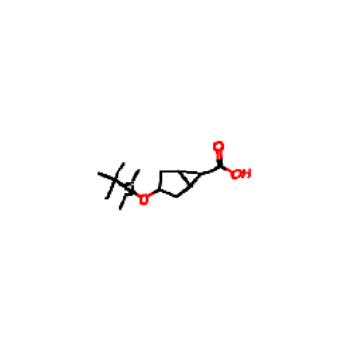 CC(C)(C)[Si](C)(C)OC1CC2C(C1)C2C(=O)O